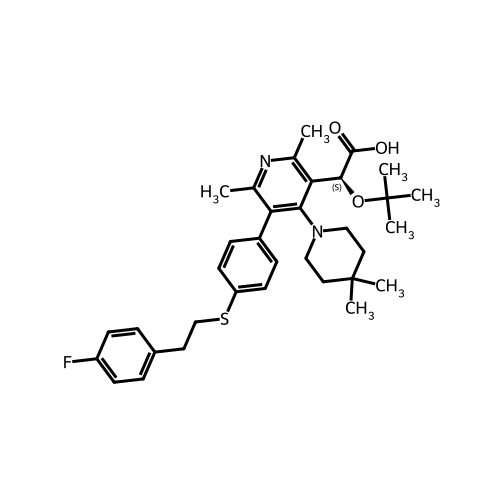 Cc1nc(C)c([C@H](OC(C)(C)C)C(=O)O)c(N2CCC(C)(C)CC2)c1-c1ccc(SCCc2ccc(F)cc2)cc1